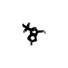 Cn1nc(C(F)(F)F)c2c1CNC2